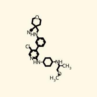 COC[C@H](C)N[C@H]1CC[C@H](Nc2cc(-c3cccc(NCC4(C#N)CCOCC4)c3)c(Cl)cn2)CC1